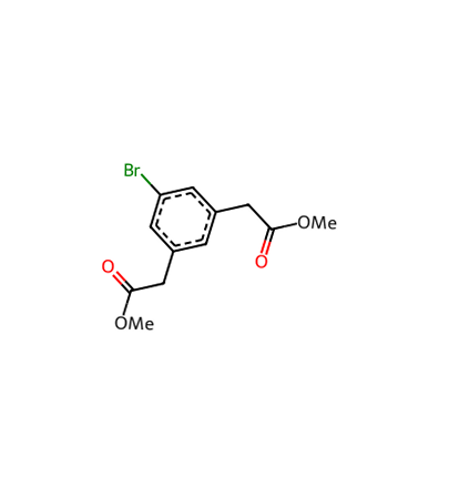 COC(=O)Cc1cc(Br)cc(CC(=O)OC)c1